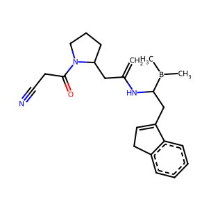 C=C(CC1CCCN1C(=O)CC#N)NC(CC1=CCc2ccccc21)B(C)C